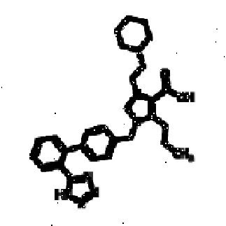 CCCC1=C(C(=O)O)N(CCC2CCCCC2)CN1Cc1ccc(-c2ccccc2-c2nnn[nH]2)cc1